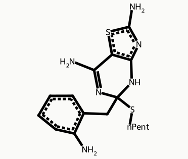 CCCCCSC1(Cc2ccccc2N)N=C(N)c2sc(N)nc2N1